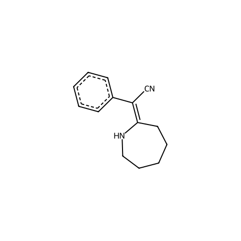 N#CC(=C1CCCCCN1)c1ccccc1